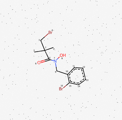 CC(C)(CBr)C(=O)N(O)Cc1ccccc1Br